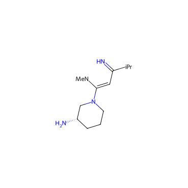 CN/C(=C\C(=N)C(C)C)N1CCC[C@H](N)C1